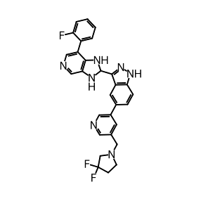 Fc1ccccc1-c1cncc2c1NC(c1n[nH]c3ccc(-c4cncc(CN5CCC(F)(F)C5)c4)cc13)N2